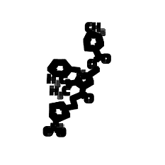 Cc1ccc(C(=O)OCc2cc(C(=O)CCc3cccc([N+](=O)[O-])c3)c(C(C)C)n2Cc2ccccc2)cc1